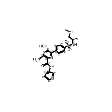 COC[C@@H](C)NS(=O)(=O)c1ccc(-c2cnc(N)c(C(=O)Nc3cccnc3)n2)cc1.Cl